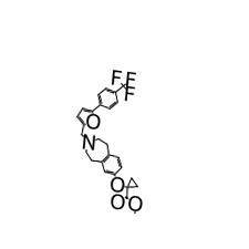 COC(=O)C1(Oc2ccc3c(c2)CCN(Cc2ccc(-c4ccc(C(F)(F)F)cc4)o2)CC3)CC1